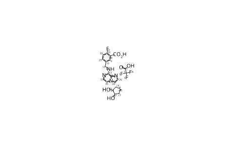 O=C(O)C(F)(F)F.O=C(O)c1cc(CNc2nccn3c([C@@H]4SC[C@@H](O)[C@H]4O)cnc23)ccc1F